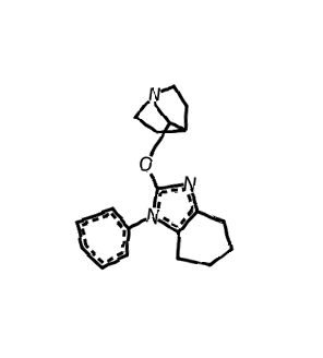 c1ccc(-n2c(OC3CN4CCC3CC4)nc3c2CCCC3)cc1